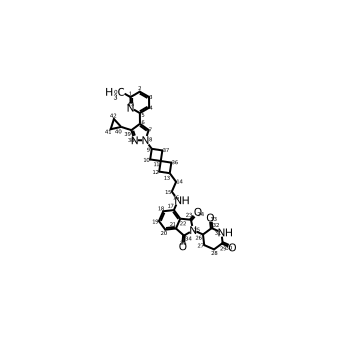 Cc1cccc(-c2cn(C3CC4(CC(CCNc5cccc6c5C(=O)N(C5CCC(=O)NC5=O)C6=O)C4)C3)nc2C2CC2)n1